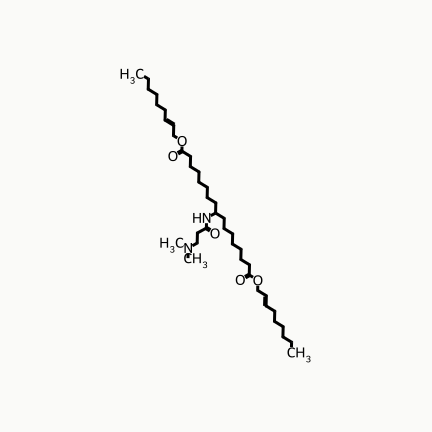 CCCCCCC=CCOC(=O)CCCCCCCC(CCCCCCCC(=O)OCC=CCCCCCC)NC(=O)CCN(C)C